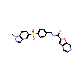 Cn1ncc2cc(S(=O)(=O)c3ccc(CNC(=O)c4cc5ccncc5o4)cc3)ccc21